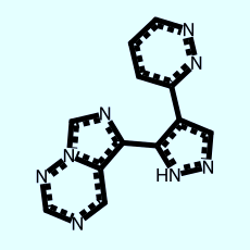 c1cnnc(-c2cn[nH]c2-c2ncn3ncncc23)c1